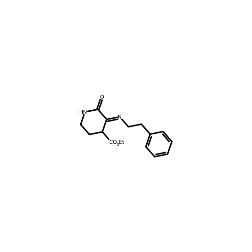 CCOC(=O)C1CCNC(=O)C1=NCCc1ccccc1